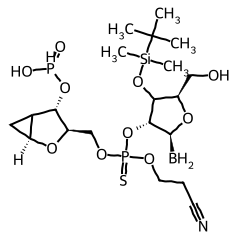 B[C@@H]1O[C@H](CO)C(O[Si](C)(C)C(C)(C)C)[C@H]1OP(=S)(OCCC#N)OC[C@H]1O[C@H]2CC2[C@@H]1O[PH](=O)O